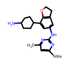 CNc1cc(C)nc(Nc2cc3c(c(C4CCC(N)CC4)c2)OCC3)n1